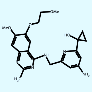 COCCOc1cc2c(NCc3cc(N)cc(C4(O)CC4)n3)nc(C)nc2cc1OC